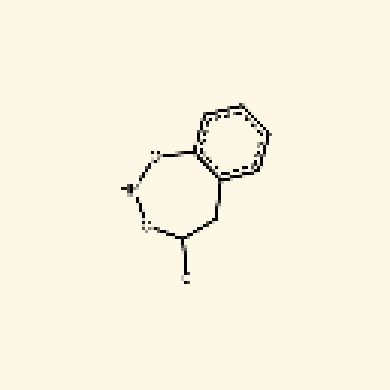 ClC1Cc2ccccc2OPO1